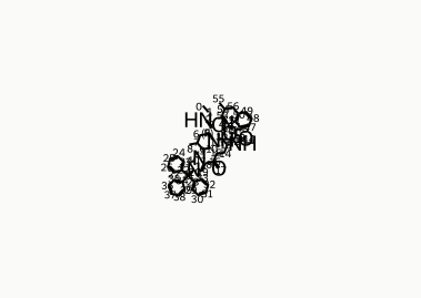 CCNC(=O)[C@H]1CC(C)CCN1CC(CCC(=O)c1cn(C(c2ccccc2)(c2ccccc2)c2ccccc2)cn1)NS(=O)(=O)c1cccc2c1NCC(C)C2